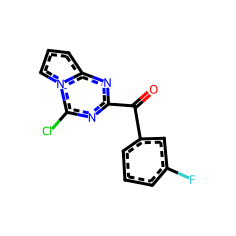 O=C(c1cccc(F)c1)c1nc(Cl)n2cccc2n1